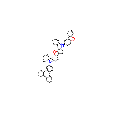 c1ccc2c(c1)oc1ccc(-n3c4ccccc4c4c5oc6c(ccc7c6c6ccccc6n7-c6ccc7c8ccccc8c8ccccc8c7c6)c5ccc43)cc12